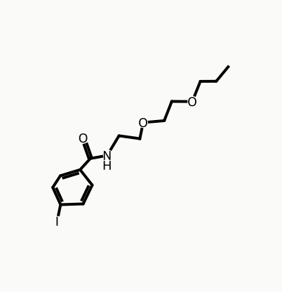 CCCOCCOCCNC(=O)c1ccc(I)cc1